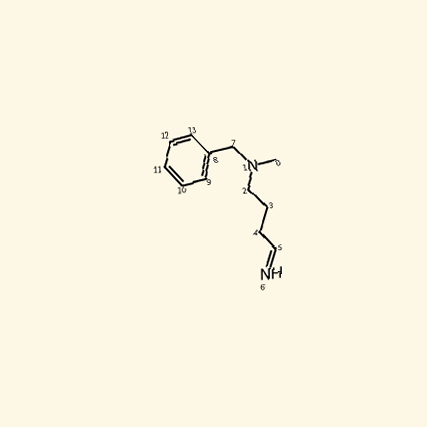 CN(CCCC=N)Cc1ccccc1